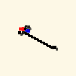 CCCCCCCCCCCCCCCCCCC(C)NC(C)O